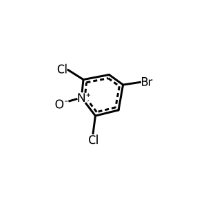 [O-][n+]1c(Cl)cc(Br)cc1Cl